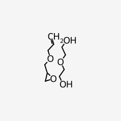 C=CCOCC1CO1.OCCOCCO